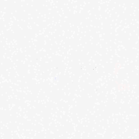 O=C(O)c1ccc(/C=C/CCCBr)cc1